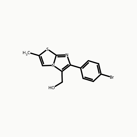 Cc1cn2c(CO)c(-c3ccc(Br)cc3)nc2s1